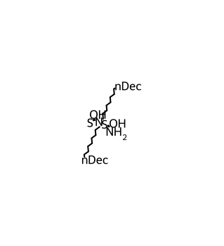 CCCCCCCCCCCCCCCCCCN(CCCCCCCCCCCCCCCCCC)C(O)=S.NC(O)=S